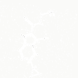 CCOC(=O)c1nc2ccc(C3CC3)cn2c1F